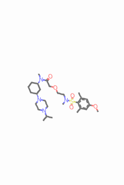 COc1cc(C)c(S(=O)(=O)N(C)CCOCC(=O)N(C)[C@@H]2CCC[C@H](N3CCN(C(C)C)CC3)C2)c(C)c1